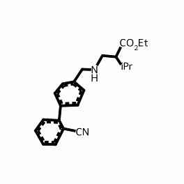 CCOC(=O)C(CNCc1ccc(-c2ccccc2C#N)cc1)C(C)C